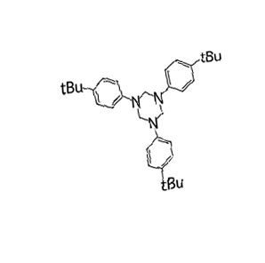 CC(C)(C)c1ccc(N2CN(c3ccc(C(C)(C)C)cc3)CN(c3ccc(C(C)(C)C)cc3)C2)cc1